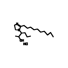 CCCCCCCCCCC1=NCCN1C(CCC)C(C)O.Cl